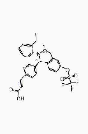 CCc1ccccc1N1[C@H](c2ccc(/C=C/C(=O)O)cc2)c2ccc(OS(=O)(=O)C(F)(F)F)cc2C[C@H]1C